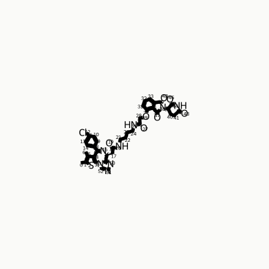 Cc1sc2c(c1C)C(c1ccc(Cl)cc1)=N[C@@H](CC(=O)NCCCCNC(=O)COc1cccc3c1C(=O)N(C1CCC(=O)NC1=O)C3=O)c1nncn1-2